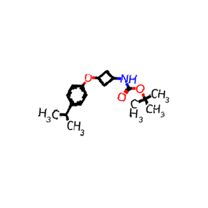 CC(C)c1ccc(OC2CC(NC(=O)OC(C)(C)C)C2)cc1